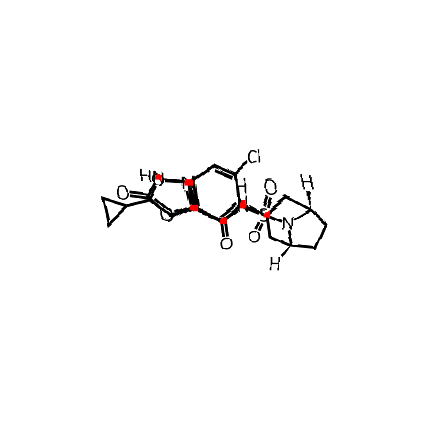 O=C(N[C@@H]1C[C@H]2CC[C@@H](C1)N2S(=O)(=O)c1cc2oc(=O)[nH]c2cc1Cl)c1cc(C2CC2)on1